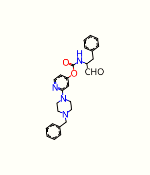 O=CC(Cc1ccccc1)NC(=O)Oc1ccnc(N2CCN(Cc3ccccc3)CC2)c1